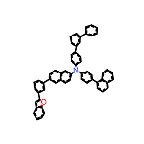 c1ccc(-c2cccc(-c3ccc(N(c4ccc(-c5cccc6ccccc56)cc4)c4ccc5cc(-c6cccc(-c7cc8ccccc8o7)c6)ccc5c4)cc3)c2)cc1